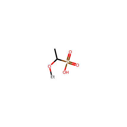 [CH2]COC(C)S(=O)(=O)O